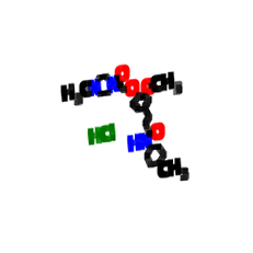 COc1cc(C=CC(=O)N[C@H]2CC[C@H](C)CC2)ccc1OCC(=O)N1CCN(C)CC1.Cl